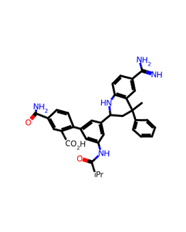 CC(C)C(=O)Nc1cc(-c2ccc(C(N)=O)cc2C(=O)O)cc(C2CC(C)(c3ccccc3)c3cc(C(=N)N)ccc3N2)c1